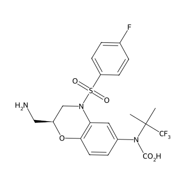 CC(C)(N(C(=O)O)c1ccc2c(c1)N(S(=O)(=O)c1ccc(F)cc1)C[C@H](CN)O2)C(F)(F)F